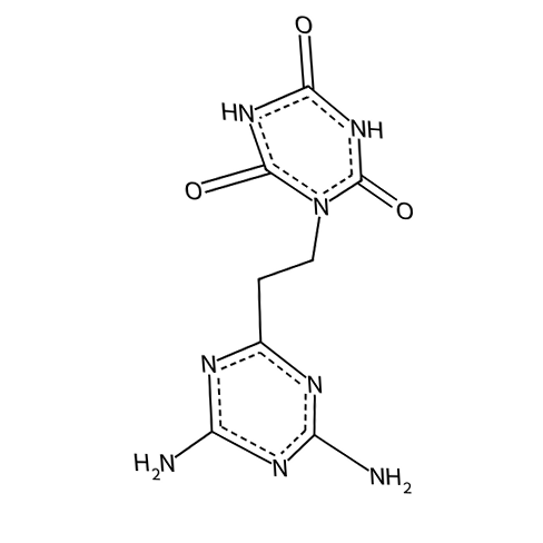 Nc1nc(N)nc(CCn2c(=O)[nH]c(=O)[nH]c2=O)n1